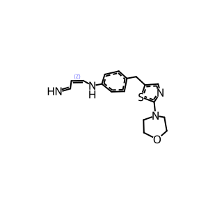 N=C/C=C\Nc1ccc(Cc2cnc(N3CCOCC3)s2)cc1